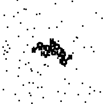 C=C(c1cc(CN2CCN(c3ncccc3C#N)CC2)ccc1C)N1CCN(c2cccc(C#N)n2)CC1C